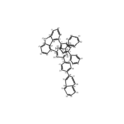 c1ccc(-c2ccc(-c3cccc4oc5cccc(C6=NC(c7ccc(-c8ccc9ccccc9c8)cc7)=NC(c7ccccc7)N6)c5c34)cc2)cc1